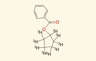 [2H]C1([2H])C([2H])([2H])C([2H])([2H])C([2H])(OC(=O)c2ccccc2)C1([2H])[2H]